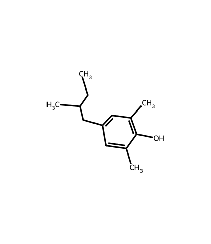 CCC(C)Cc1cc(C)c(O)c(C)c1